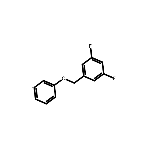 Fc1cc(F)cc(COc2c[c]ccc2)c1